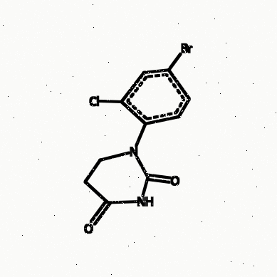 O=C1CCN(c2ccc(Br)cc2Cl)C(=O)N1